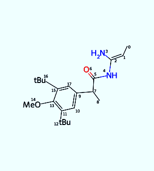 CC=C(N)NC(=O)C(C)c1cc(C(C)(C)C)c(OC)c(C(C)(C)C)c1